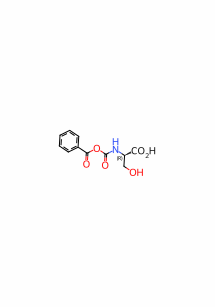 O=C(N[C@H](CO)C(=O)O)OC(=O)c1ccccc1